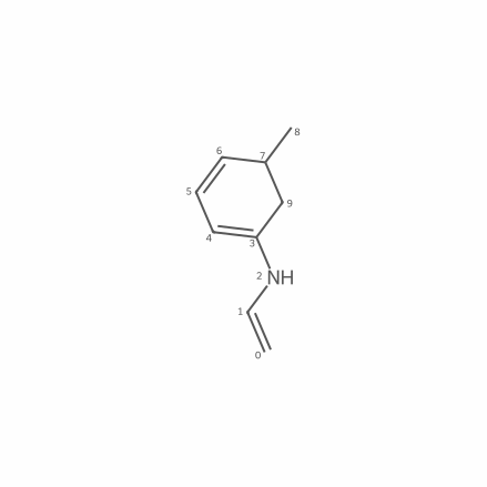 C=CNC1=CC=CC(C)C1